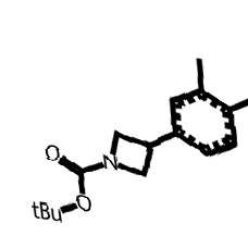 Cc1ccc(C2CN(C(=O)OC(C)(C)C)C2)cc1C